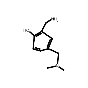 CN(C)Cc1ccc(O)c(CN)c1